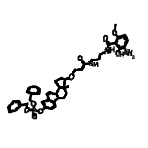 COc1ccc(N)c(O)c1C(=O)NCCCNC(=O)CCOC1CCC2C3CCc4cc(OP(=O)(OCc5ccccc5)OCc5ccccc5)ccc4C3CCC12C